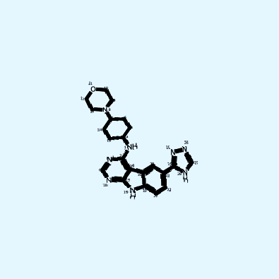 c1nc(NC2CCC(N3CCOCC3)CC2)c2c(n1)[nH]c1ccc(-c3nnc[nH]3)cc12